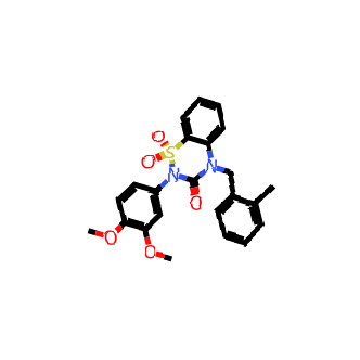 COc1ccc(N2C(=O)N(Cc3ccccc3C)c3ccccc3S2(=O)=O)cc1OC